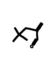 C=C(C=O)CC(C)(C)C